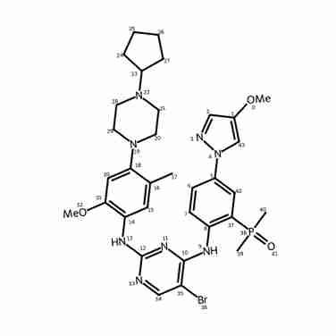 COc1cnn(-c2ccc(Nc3nc(Nc4cc(C)c(N5CCN(C6CCCC6)CC5)cc4OC)ncc3Br)c(P(C)(C)=O)c2)c1